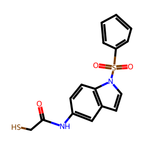 O=C(CS)Nc1ccc2c(ccn2S(=O)(=O)c2ccccc2)c1